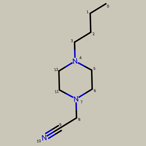 CCCCN1CCN(CC#N)CC1